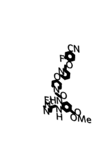 CCn1cncc1CNc1cc(C(=O)OC)ccc1NC(=O)CN1CCC(Oc2cccc(COc3ccc(C#N)cc3F)n2)CC1